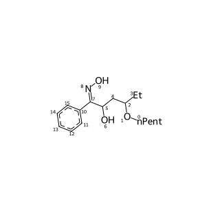 CCCCCOC(CC)CC(O)C(=NO)c1ccccc1